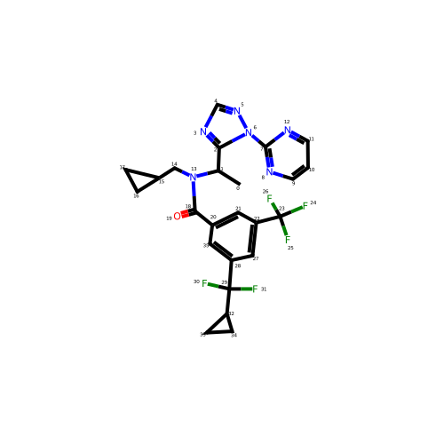 CC(c1ncnn1-c1ncccn1)N(CC1CC1)C(=O)c1cc(C(F)(F)F)cc(C(F)(F)C2CC2)c1